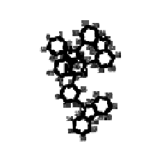 c1ccc(-c2nc(-c3cccc(-n4c5ccccc5c5ccccc54)c3)nc(-c3cccc4sc5cccc(-c6nc7ccccc7s6)c5c34)n2)cc1